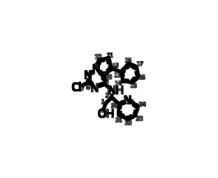 OCC(Nc1nc(Cl)nn2ccc(-c3ccccc3)c12)c1ccccn1